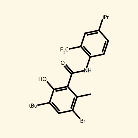 Cc1c(Br)cc(C(C)(C)C)c(O)c1C(=O)Nc1ccc(C(C)C)cc1C(F)(F)F